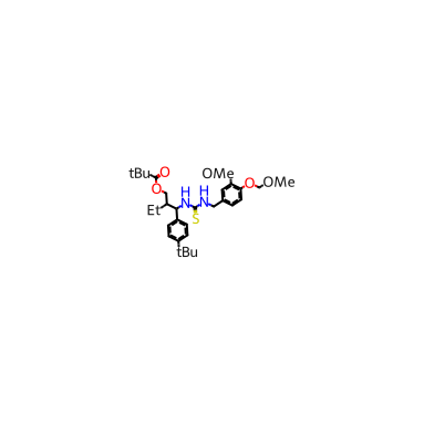 CCC(COC(=O)C(C)(C)C)C(NC(=S)NCc1ccc(OCOC)c(OC)c1)c1ccc(C(C)(C)C)cc1